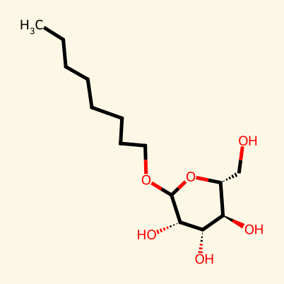 CCCCCCCCOC1O[C@H](CO)[C@@H](O)[C@H](O)[C@@H]1O